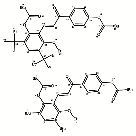 CCOc1c(C(C)(C)C)cc(C(C)(C)C)c(OC(=O)C(C)(C)C)c1C=CC(=O)c1ccc(OC(=O)C(C)(C)C)cc1.CCOc1c(C(C)(C)CC)cc(C(C)(C)CC)c(OC(=O)C(C)(C)C)c1C=CC(=O)c1ccc(OC(=O)C(C)(C)C)cc1